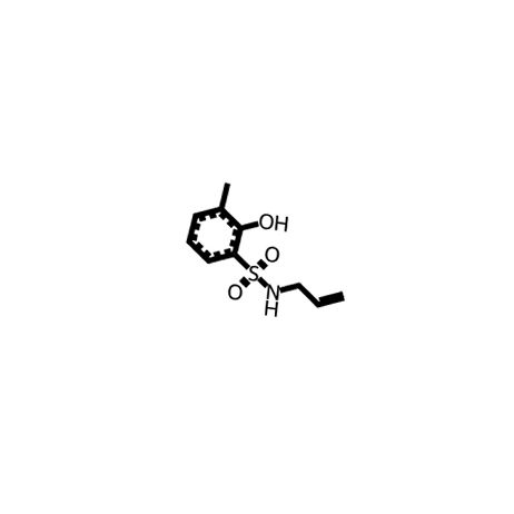 C=CCNS(=O)(=O)c1cccc(C)c1O